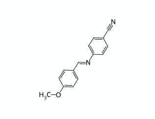 COc1ccc(C=Nc2ccc(C#N)cc2)cc1